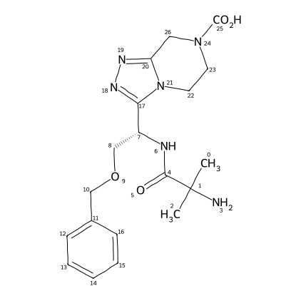 CC(C)(N)C(=O)N[C@H](COCc1ccccc1)c1nnc2n1CCN(C(=O)O)C2